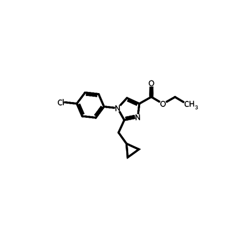 CCOC(=O)c1cn(-c2ccc(Cl)cc2)c(CC2CC2)n1